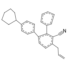 C=CCc1ccc(-c2ccc(C3CCCCC3)cc2)c(-c2ccccc2)c1C#N